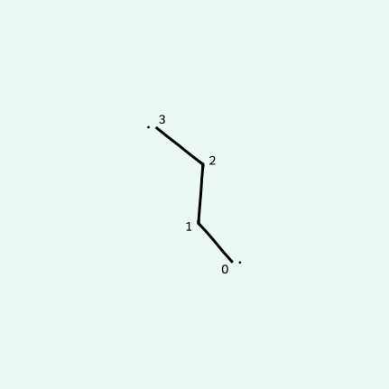 [CH2]CC[CH2]